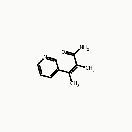 CC(C(N)=O)=C(C)c1cccnc1